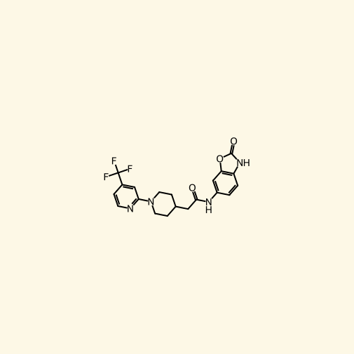 O=C(CC1CCN(c2cc(C(F)(F)F)ccn2)CC1)Nc1ccc2[nH]c(=O)oc2c1